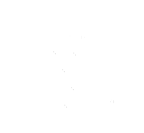 Cc1ccc2ncn(-c3cc(-c4ccccc4C)nc(N[C@@H](C)c4ccccc4)n3)c2c1